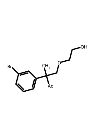 CC(=O)C(C)(COCCO)c1cccc(Br)c1